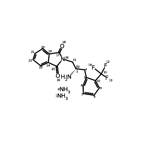 N.N.N[C@@H](Cc1ccccc1C(F)(F)F)CN1C(=O)c2ccccc2C1=O